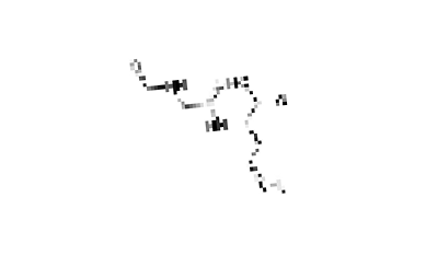 C=CC[C@@H](NC(=O)CNC=O)C(=O)O